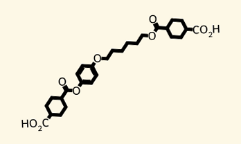 O=C(O)C1CCC(C(=O)OCCCCCCOc2ccc(OC(=O)C3CCC(C(=O)O)CC3)cc2)CC1